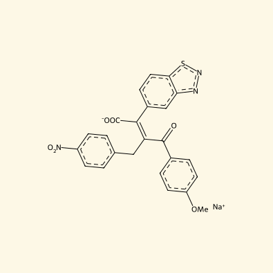 COc1ccc(C(=O)C(Cc2ccc([N+](=O)[O-])cc2)=C(C(=O)[O-])c2ccc3snnc3c2)cc1.[Na+]